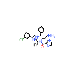 CC(C)C(c1nc(-c2cccc(Cl)c2)cn1Cc1ccccc1)N(CCCN)C(=O)c1cnccn1